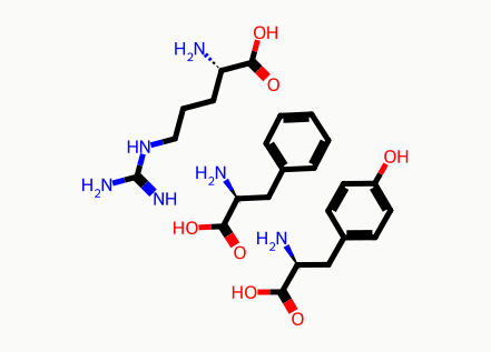 N=C(N)NCCC[C@H](N)C(=O)O.N[C@@H](Cc1ccc(O)cc1)C(=O)O.N[C@@H](Cc1ccccc1)C(=O)O